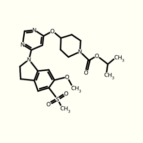 COc1cc2c(cc1S(C)(=O)=O)CCN2c1cc(OC2CCN(C(=O)OC(C)C)CC2)ncn1